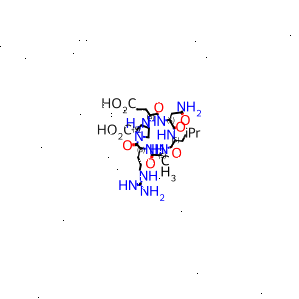 CC(C)C[C@H](NC(=O)[C@H](CC(N)=O)NC(=O)[C@@H](N)CCC(=O)O)C(=O)N[C@@H](C)C(=O)N[C@@H](CCCNC(=N)N)C(=O)N1CCC[C@H]1C(=O)O